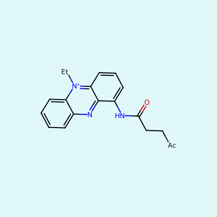 CC[n+]1c2ccccc2nc2c(NC(=O)CCC(C)=O)cccc21